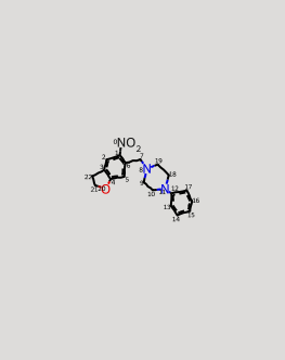 O=[N+]([O-])c1cc2c(cc1CN1CCN(c3ccccc3)CC1)OCC2